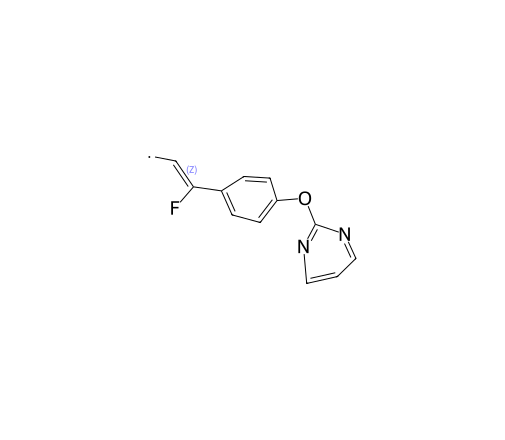 [CH2]/C=C(\F)c1ccc(Oc2ncccn2)cc1